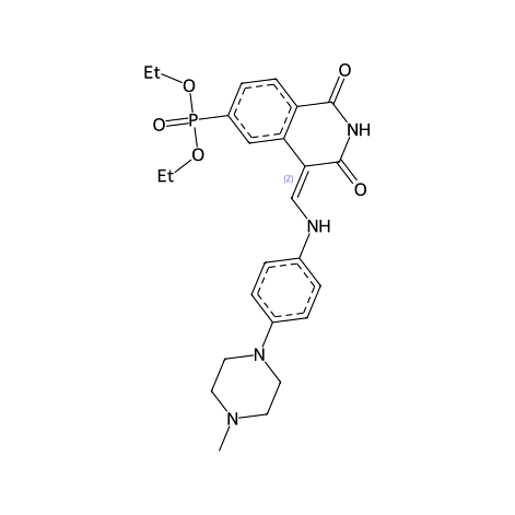 CCOP(=O)(OCC)c1ccc2c(c1)/C(=C/Nc1ccc(N3CCN(C)CC3)cc1)C(=O)NC2=O